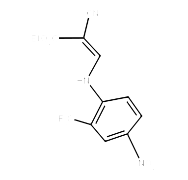 CCOC(=O)/C(C#N)=C\Nc1ccc([N+](=O)[O-])cc1C(F)(F)F